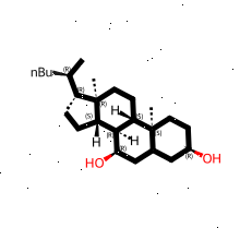 CCCC[C@@H](C)[C@H]1CC[C@H]2[C@@H]3[C@H](O)CC4C[C@H](O)CC[C@]4(C)[C@H]3CC[C@]12C